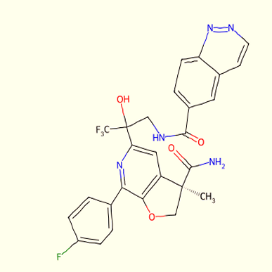 C[C@]1(C(N)=O)COc2c1cc(C(O)(CNC(=O)c1ccc3nnccc3c1)C(F)(F)F)nc2-c1ccc(F)cc1